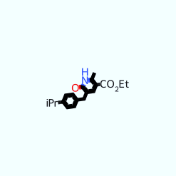 CCOC(=O)c1cc(Cc2ccc(C(C)C)cc2)c(=O)[nH]c1C